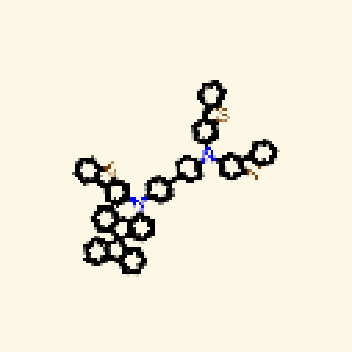 C1=C(c2ccc(N(c3ccc4c(c3)sc3ccccc34)c3cccc4c3-c3ccccc3C43c4ccccc4-c4ccccc43)cc2)CCC(N(c2ccc3c(c2)sc2ccccc23)c2ccc3sc4ccccc4c3c2)=C1